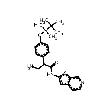 CC(C)(C)[Si](C)(C)Oc1ccc(C(CN)C(=O)Nc2cc3ccncc3s2)cc1